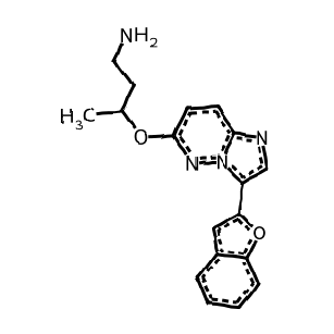 CC(CCN)Oc1ccc2ncc(-c3cc4ccccc4o3)n2n1